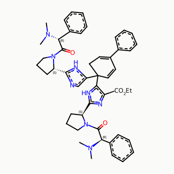 CCOC(=O)c1nc([C@@H]2CCCN2C(=O)[C@@H](c2ccccc2)N(C)C)[nH]c1C1(c2cnc([C@@H]3CCCN3C(=O)[C@@H](c3ccccc3)N(C)C)[nH]2)C=CC(c2ccccc2)=CC1